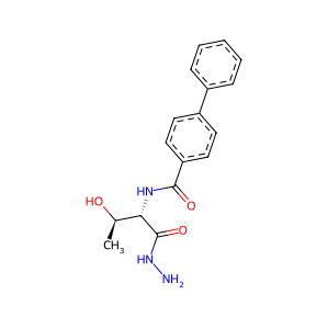 C[C@@H](O)[C@H](NC(=O)c1ccc(-c2ccccc2)cc1)C(=O)NN